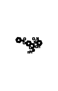 CCCOC(=O)[C@H](O)[C@@H](Sc1ccccc1[N+](=O)[O-])c1ccc(OC(=O)c2ccccc2)cc1